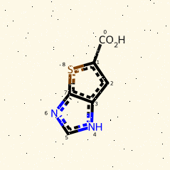 O=C(O)c1cc2[nH]cnc2s1